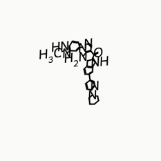 Cc1nc2cc(-n3ncc(C(=O)C4Cc5ccc(-c6ccc(N7CCCCC7)nc6)cc5N4)c3N)ccc2[nH]1